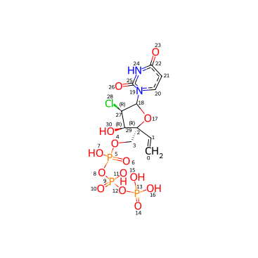 C=C[C@]1(COP(=O)(O)OP(=O)(O)OP(=O)(O)O)OC(n2ccc(=O)[nH]c2=O)[C@H](Cl)[C@@H]1O